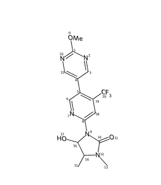 COc1ncc(-c2cnc(N3C(=O)N(C)C(C)C3O)cc2C(F)(F)F)cn1